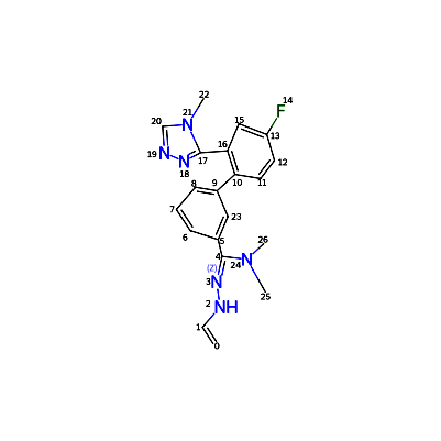 C=CN/N=C(/c1cccc(-c2ccc(F)cc2-c2nncn2C)c1)N(C)C